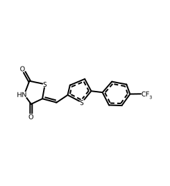 O=C1NC(=O)C(=Cc2ccc(-c3ccc(C(F)(F)F)cc3)s2)S1